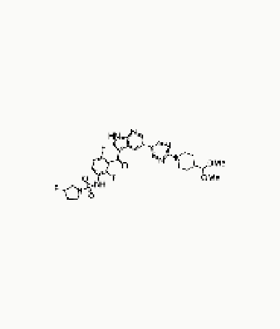 COC(OC)C1CCN(c2ncc(-c3cnc4[nH]cc(C(=O)c5c(F)ccc(NS(=O)(=O)N6CCC(F)C6)c5F)c4c3)cn2)CC1